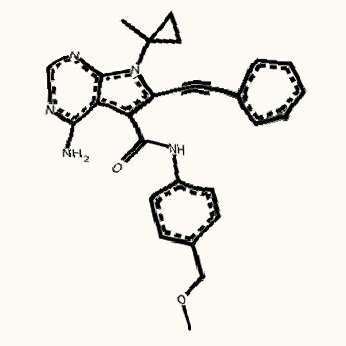 COCc1ccc(NC(=O)c2c(C#Cc3ccccc3)n(C3(C)CC3)c3ncnc(N)c23)cc1